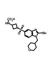 CC(C)(C)c1nc2cc(S(=O)(=O)N3CC(NC(=O)O)C3)ccc2n1CC1CCOCC1